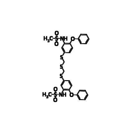 CS(=O)(=O)Nc1cc(SCSCSc2ccc(Oc3ccccc3)c(NS(C)(=O)=O)c2)ccc1Oc1ccccc1